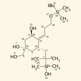 CC(C)(C[C@@H]1C[C@@](O)(CO)C[C@@H](O)C1=CCCO[Si](C)(C)C(C)(C)C)[Si](C)(C)O